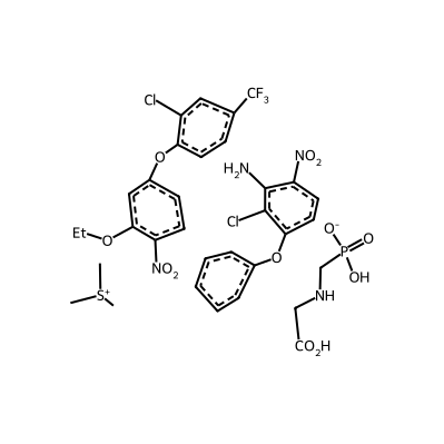 CCOc1cc(Oc2ccc(C(F)(F)F)cc2Cl)ccc1[N+](=O)[O-].C[S+](C)C.Nc1c([N+](=O)[O-])ccc(Oc2ccccc2)c1Cl.O=C(O)CNCP(=O)([O-])O